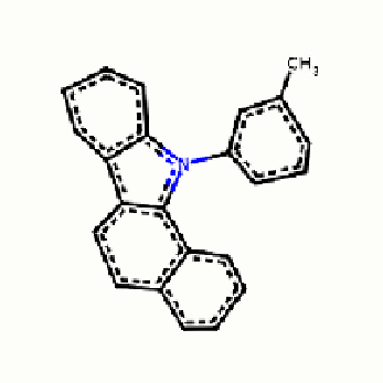 Cc1cccc(-n2c3ccccc3c3ccc4ccccc4c32)c1